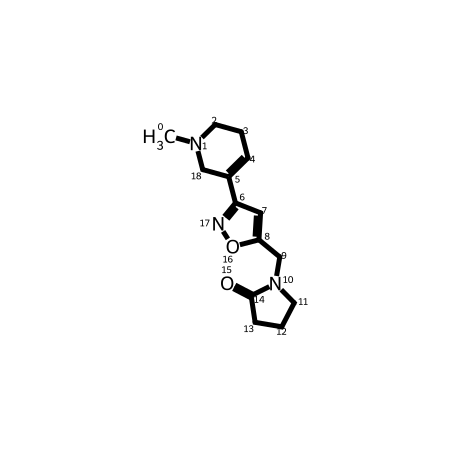 CN1CCC=C(c2cc(CN3CCCC3=O)on2)C1